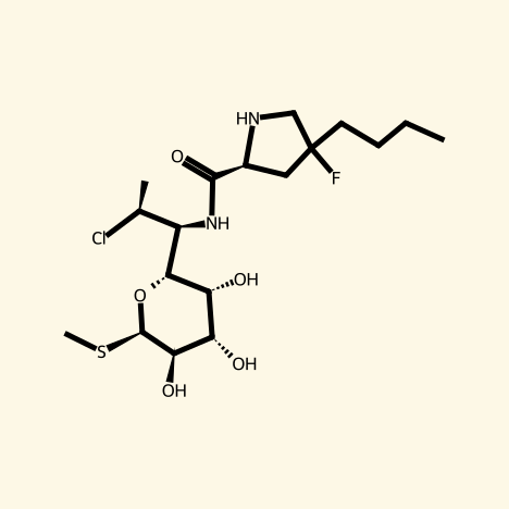 CCCCC1(F)CN[C@H](C(=O)N[C@@H]([C@H]2O[C@H](SC)[C@H](O)[C@@H](O)[C@H]2O)[C@H](C)Cl)C1